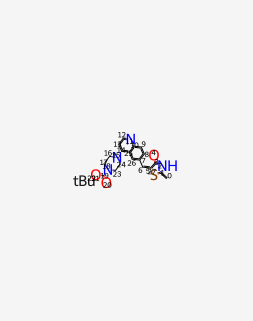 C=c1[nH]c(=O)/c(=C\c2ccc3nccc(N4CCN(C(=O)OC(C)(C)C)CC4)c3c2)s1